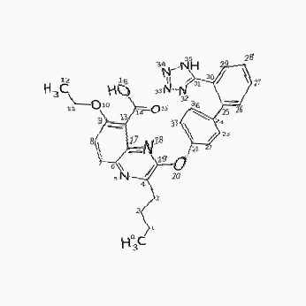 CCCCc1nc2ccc(OCC)c(C(=O)O)c2nc1Oc1ccc(-c2ccccc2-c2nnn[nH]2)cc1